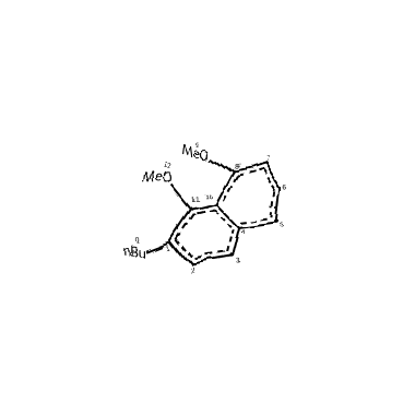 CCCCc1ccc2cccc(OC)c2c1OC